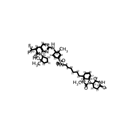 Cc1cc(S(=O)(=O)NCCCCCCc2cccc3c2n(C)c(=O)n3C2CCC(=O)NC2=O)ccc1Nc1ncc2cc(C(F)F)c(=O)n(C3CCC[C@@]3(C)O)c2n1